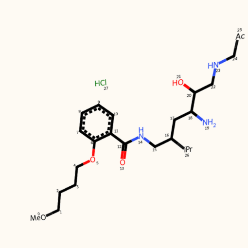 COCCCCOc1ccccc1C(=O)NCC(CC(N)C(O)CNCC(C)=O)C(C)C.Cl